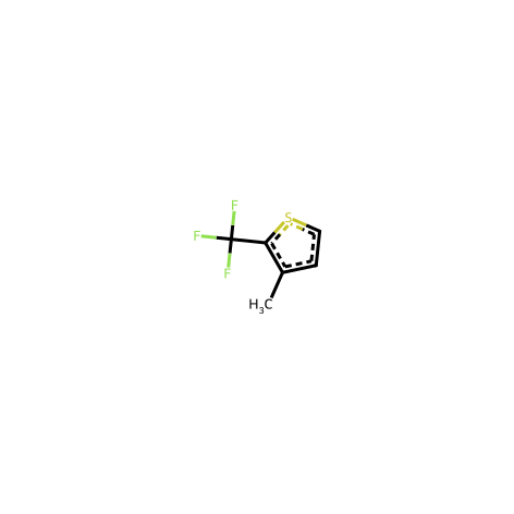 Cc1ccsc1C(F)(F)F